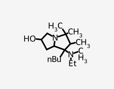 CCCCC1(N(C)CC)C2CC(O)CN2C(C)(C)C1C